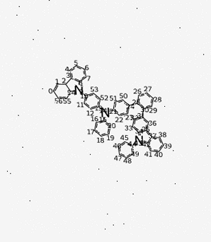 C1=CC2c3ccccc3N(c3ccc(N(c4ccccc4)c4ccc(-c5ccccc5-c5ccc6c(c5)c5ccccc5n6-c5ccccc5)cc4)cc3)C2C=C1